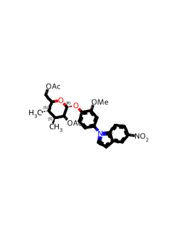 COc1cc(-n2ccc3cc([N+](=O)[O-])ccc32)ccc1O[C@H]1OC(COC(C)=O)[C@@H](C)[C@H](C)C1OC(C)=O